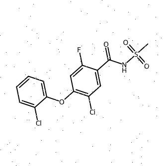 CS(=O)(=O)NC(=O)c1cc(Cl)c(Oc2ccccc2Cl)cc1F